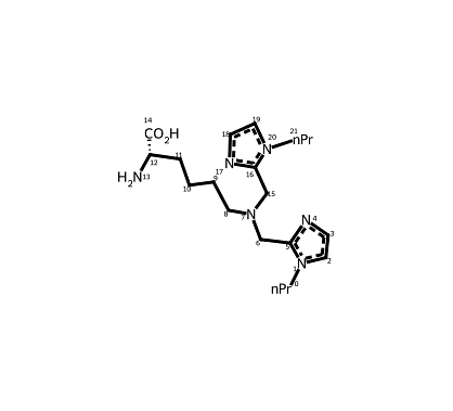 CCCn1ccnc1CN(CCCC[C@H](N)C(=O)O)Cc1nccn1CCC